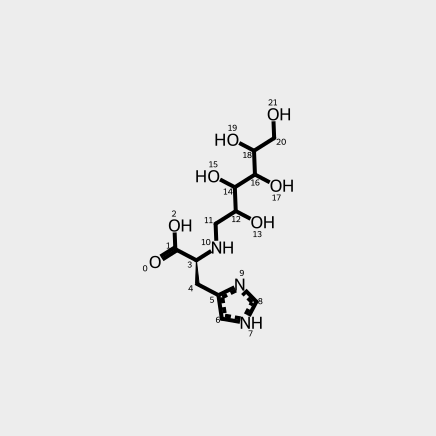 O=C(O)[C@H](Cc1c[nH]cn1)NCC(O)C(O)C(O)C(O)CO